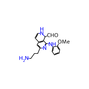 COc1ccccc1Nc1nc(CCCN)cc2c1C(C=O)NC=C2